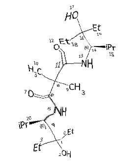 CCC(O)(CC)[C@H](NC(=O)C(C)(C)C(=O)N[C@H](C(C)C)C(O)(CC)CC)C(C)C